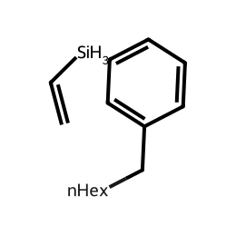 C=C[SiH3].CCCCCCCc1ccccc1